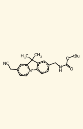 CC(C)(C)OC(=O)NCc1ccc2c(c1)C(C)(C)c1cc(CC#N)cc[n+]1-2